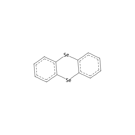 c1ccc2c(c1)[Se]c1ccccc1[Se]2